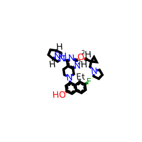 [2H]C([2H])(Oc1nc2c(c(N3C[C@H]4CC[C@@H](C3)N4)n1)CCN(c1cc(O)cc3ccc(F)c(CC)c13)C2)C1(CN2CCCC2)CC1